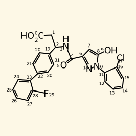 O=C(O)CC(NC(=O)c1cc(O)n(-c2ccccc2Cl)n1)c1ccc(-c2ccccc2F)cc1